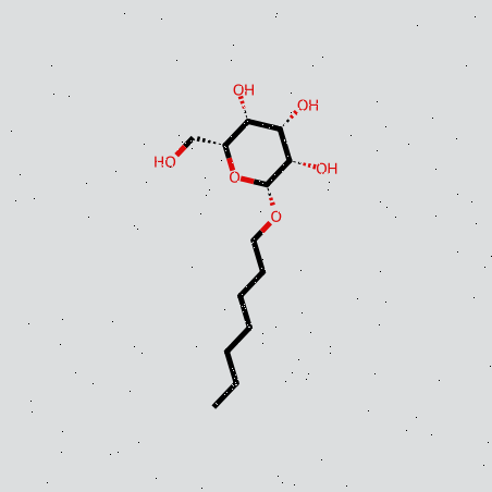 CCCCCCCO[C@@H]1O[C@H](CO)[C@H](O)[C@H](O)[C@@H]1O